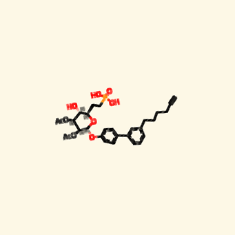 C#CCCCCc1cccc(-c2ccc(O[C@H]3O[C@H](CCP(=O)(O)O)[C@@H](O)[C@H](OC(C)=O)[C@@H]3OC(C)=O)cc2)c1